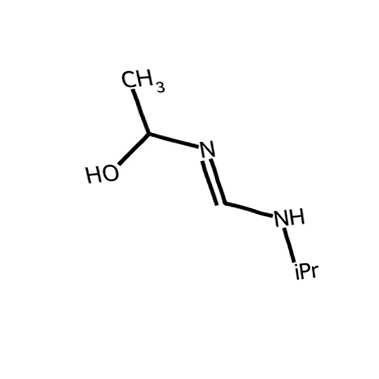 CC(O)/N=C/NC(C)C